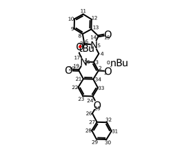 CCCCOc1c(CN2C(=O)c3ccccc3C2=O)n(CC(C)(C)C)c(=O)c2ccc(OCc3ccccc3)cc12